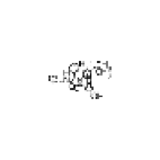 CC(C)(C)c1ccc(N(C(=O)C2CC(O)CN2)C(C(=O)NCC2COC2)c2cccnc2)cc1